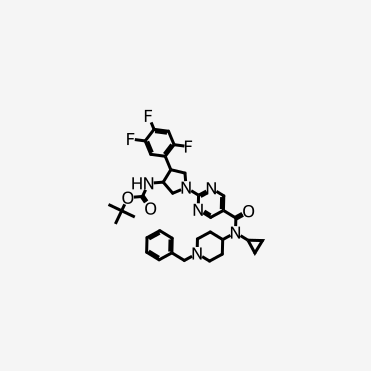 CC(C)(C)OC(=O)NC1CN(c2ncc(C(=O)N(C3CC3)C3CCN(Cc4ccccc4)CC3)cn2)CC1c1cc(F)c(F)cc1F